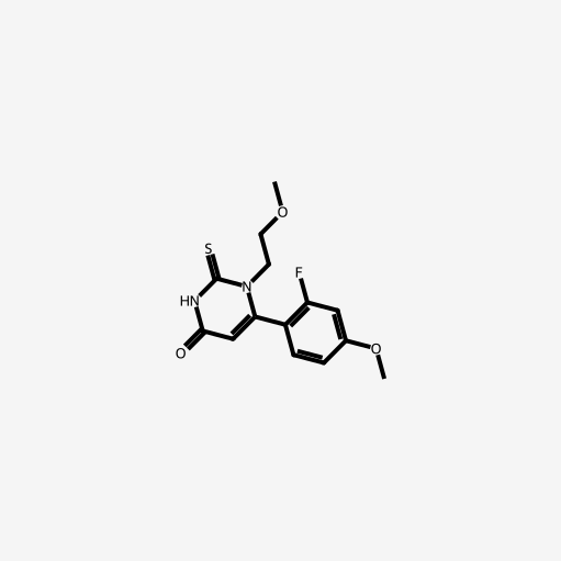 COCCn1c(-c2ccc(OC)cc2F)cc(=O)[nH]c1=S